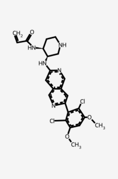 C=CC(=O)N[C@H]1CCNC[C@H]1Nc1cc2cnc(-c3c(Cl)c(OC)cc(OC)c3Cl)cc2cn1